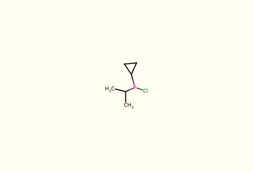 CC(C)P(Cl)C1CC1